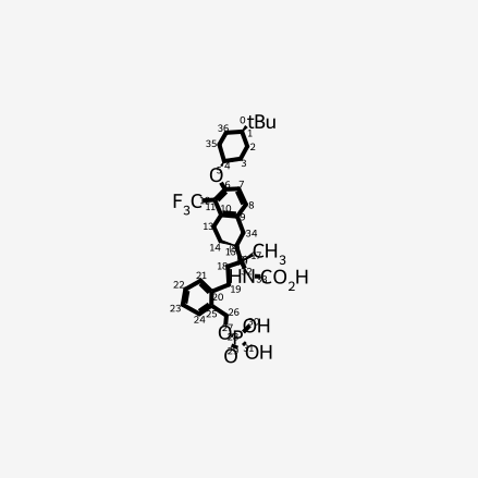 CC(C)(C)[C@H]1CC[C@H](Oc2ccc3c(c2C(F)(F)F)CC[C@H]([C@@](C)(CCc2ccccc2COP(=O)(O)O)NC(=O)O)C3)CC1